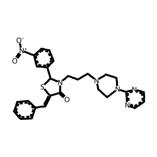 O=C1/C(=C/c2ccccc2)SC(c2cccc([N+](=O)[O-])c2)N1CCCN1CCN(c2ncccn2)CC1